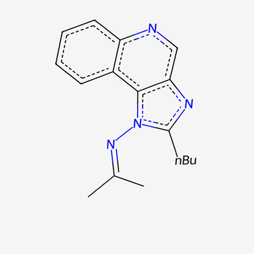 CCCCc1nc2cnc3ccccc3c2n1N=C(C)C